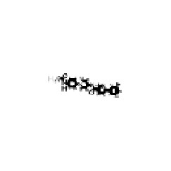 CC(=O)NC1CCC(N2CCC(NC(=O)c3ccc(-c4cccc(F)c4)nc3)CC2)CC1